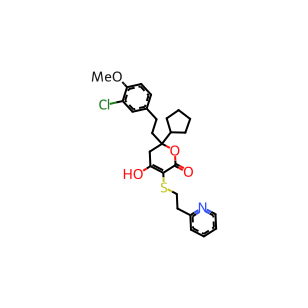 COc1ccc(CCC2(C3CCCC3)CC(O)=C(SCCc3ccccn3)C(=O)O2)cc1Cl